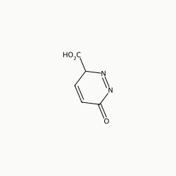 O=C1C=CC(C(=O)O)N=N1